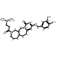 CN(C)CCC(=O)N1CCCC2CCc3cc(OCc4ccc(F)c(F)c4)nc(=O)n3CC2C1